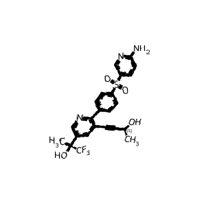 C[C@H](O)C#Cc1cc([C@@](C)(O)C(F)(F)F)cnc1-c1ccc(S(=O)(=O)c2ccc(N)nc2)cc1